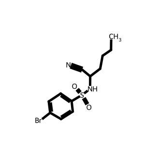 CCCCC(C#N)NS(=O)(=O)c1ccc(Br)cc1